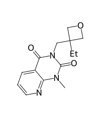 CCC1(Cn2c(=O)c3cccnc3n(C)c2=O)COC1